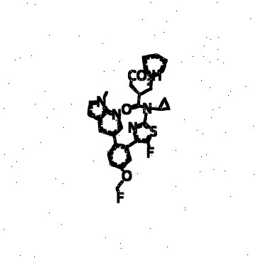 Cn1ccc2cc(-c3ccc(OCF)cc3-c3nc(N(C(=O)[C@@H](CC(=O)O)Cc4ccccc4)C4CC4)sc3F)cnc21